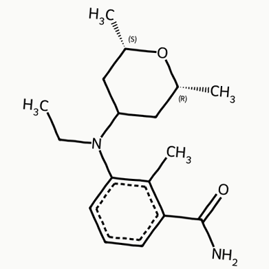 CCN(c1cccc(C(N)=O)c1C)C1C[C@@H](C)O[C@@H](C)C1